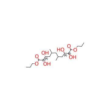 CCCOC(=O)[C@@H](O)[C@H](O)CC(C)CC(C)C[C@@H](O)[C@H](O)C(=O)OCCC